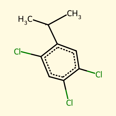 C[C](C)c1cc(Cl)c(Cl)cc1Cl